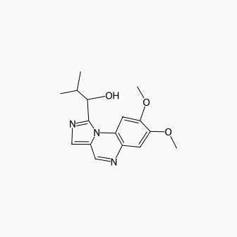 COc1cc2ncc3cnc(C(O)C(C)C)n3c2cc1OC